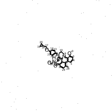 COc1ccccc1N1CCN(c2ccc(OCC3CC3)cc2)CC1c1cc(C)ccc1S(=O)(=O)NC=O